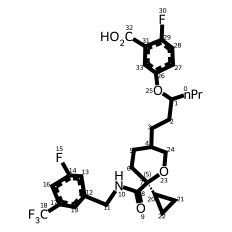 CCCC(CCC1CC[C@@](C(=O)NCc2cc(F)cc(C(F)(F)F)c2)(C2CC2)OC1)Oc1ccc(F)c(C(=O)O)c1